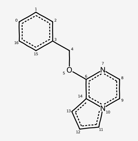 c1ccc(COc2nccn3cccc23)cc1